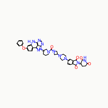 Nc1ncnc2c1c(-c1ccc(Oc3ccccc3)cc1)nn2[C@@H]1CCCN(C(=O)N2CC(N3CCN(c4ccc5c(c4)C(=O)N([C@@H]4CCC(=O)NC4=O)C5=O)CC3)C2)C1